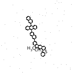 CC1(C)c2ccc(-c3ccc4cc(-c5c6ccccc6c(-c6ccc7ccccc7c6)c6ccccc56)ccc4c3)cc2-c2cc3ccc4sc5c(c4c3cc21)CCC=C5